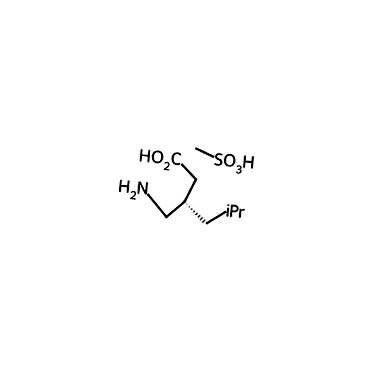 CC(C)C[C@H](CN)CC(=O)O.CS(=O)(=O)O